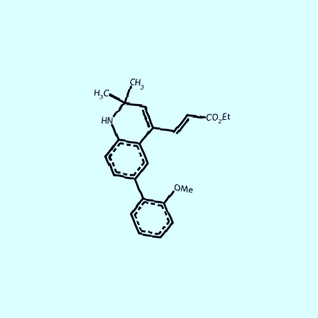 CCOC(=O)/C=C/C1=CC(C)(C)Nc2ccc(-c3ccccc3OC)cc21